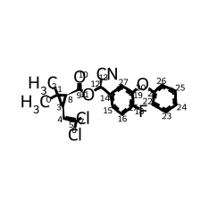 CC1(C)[C@H](C=C(Cl)Cl)[C@@H]1C(=O)O[C@@H](C#N)c1ccc(F)c(Oc2ccccc2)c1